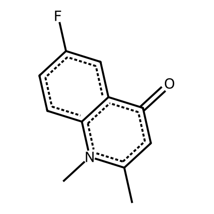 Cc1cc(=O)c2cc(F)ccc2n1C